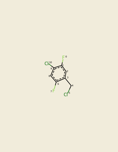 Fc1cc(CCl)c(F)cc1Cl